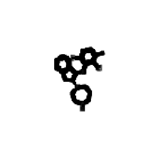 Cc1ccc(F)c(O[C@@H]2c3ccccc3C[C@H]2N2CCCNCC2)c1Cl